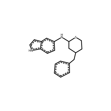 c1ccc(CC2CCSC(Nc3ccc4[nH]ccc4c3)C2)cc1